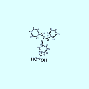 OC(O)O.c1ccc(SC(Sc2ccccc2)Sc2ccccc2)cc1